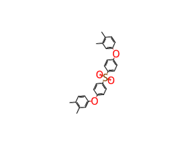 Cc1ccc(Oc2ccc(S(=O)(=O)c3ccc(Oc4ccc(C)c(C)c4)cc3)cc2)cc1C